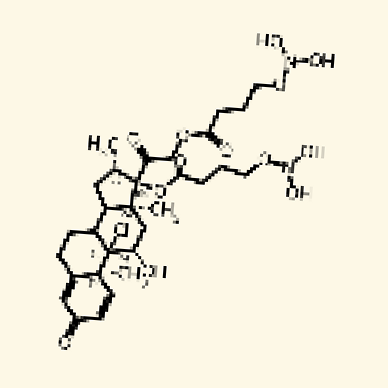 C[C@H]1CC2C3CCC4=CC(=O)C=C[C@]4(C)[C@@]3(Cl)[C@@H](O)C[C@]2(C)[C@@]1(OC(=O)CCCON(O)O)C(=O)COC(=O)CCCON(O)O